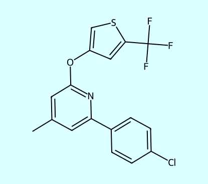 Cc1cc(Oc2csc(C(F)(F)F)c2)nc(-c2ccc(Cl)cc2)c1